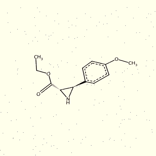 CCOC(=O)[C@H]1N[C@@H]1c1ccc(OC)cc1